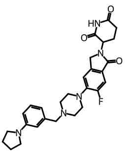 O=C1CCC(N2Cc3cc(N4CCN(Cc5cccc(N6CCCC6)c5)CC4)c(F)cc3C2=O)C(=O)N1